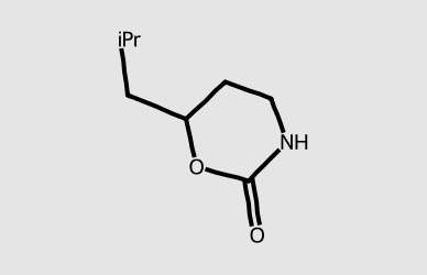 CC(C)CC1CCNC(=O)O1